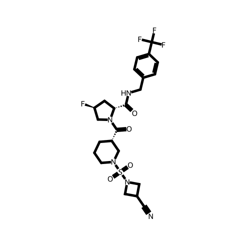 N#CC1CN(S(=O)(=O)N2CCC[C@H](C(=O)N3C[C@@H](F)C[C@@H]3C(=O)NCc3ccc(C(F)(F)F)cc3)C2)C1